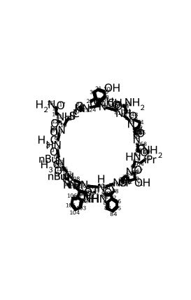 CCCC[C@H]1C(=O)N[C@@H](C)C(=O)N[C@H](C(=O)NCC(N)=O)CSCC(=O)N[C@@H](Cc2ccc(O)cc2)C(=O)N(C)[C@@H](C)C(=O)N[C@@H](CC(N)=O)C(=O)N2CCC[C@H]2C(=O)N[C@@H](CN)C(=O)N[C@@H](CC(C)C)C(=O)N2C[C@H](O)C[C@H]2C(=O)N[C@@H](Cc2c[nH]c3ccccc23)C(=O)N[C@@H](CO)C(=O)N[C@@H](Cc2c[nH]c3ccccc23)c2nnnn2[C@@H](CCCC)C(=O)N1C